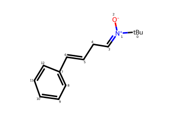 CC(C)(C)[N+]([O-])=CCC=Cc1ccccc1